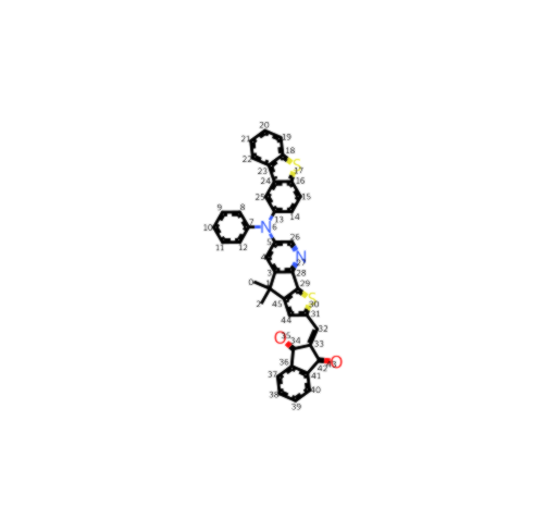 CC1(C)c2cc(N(c3ccccc3)c3ccc4sc5ccccc5c4c3)cnc2-c2sc(C=C3C(=O)c4ccccc4C3=O)cc21